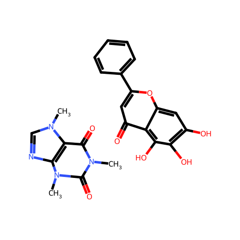 Cn1c(=O)c2c(ncn2C)n(C)c1=O.O=c1cc(-c2ccccc2)oc2cc(O)c(O)c(O)c12